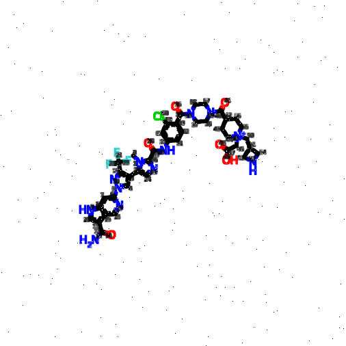 Cn1c(-c2cn(-c3cc4[nH]cc(C(N)=O)c4cn3)nc2C(F)(F)F)cnc1C(=O)Nc1ccc(C(=O)N2CCN(C(=O)C3CC[N+](CC(=O)O)(CC4CNC4)CC3)CC2)c(Cl)c1